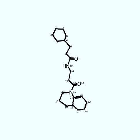 O=C(CCC1CCCCC1)NCCC(=O)N1CCCC2CCCC=C21